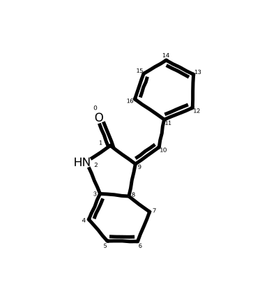 O=C1NC2=CC=CCC2C1=Cc1ccccc1